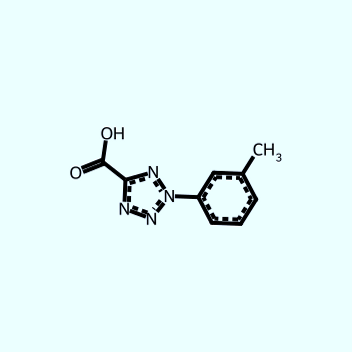 Cc1cccc(-n2nnc(C(=O)O)n2)c1